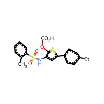 CCc1ccc(-c2cc(NS(=O)(=O)c3ccccc3C)c(OC(=O)O)s2)cc1